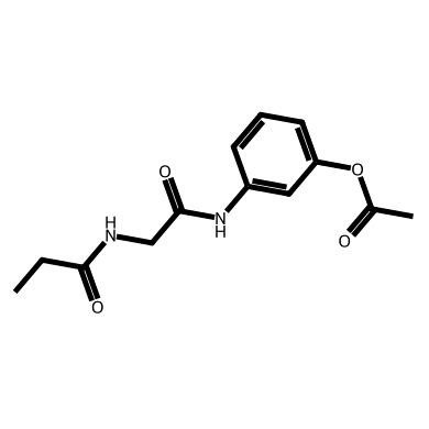 CCC(=O)NCC(=O)Nc1cccc(OC(C)=O)c1